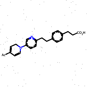 CC(=O)C1=CCN(c2ccc(CCc3ccc(CCC(=O)O)cc3)nc2)C=C1